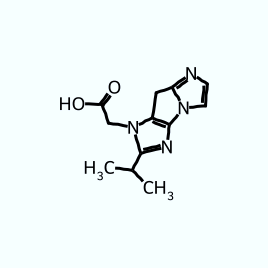 CC(C)c1nc2c(n1CC(=O)O)Cc1nccn1-2